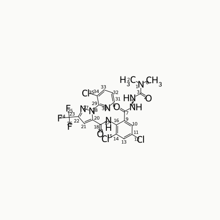 CN(C)C(=O)NNC(=O)c1cc(Cl)cc(Cl)c1NC(=O)c1cc(C(F)(F)F)nn1-c1ncccc1Cl